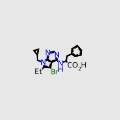 CCc1c(Br)c2c(NC(Cc3ccccc3)C(=O)O)ncnc2n1CC1CC1